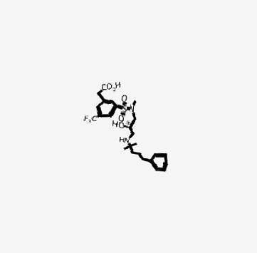 CN(C[C@H](O)CNC(C)(C)CCCc1ccccc1)S(=O)(=O)c1cc(CC(=O)O)cc(C(F)(F)F)c1